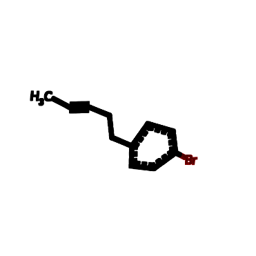 CC#CCCc1ccc(Br)cc1